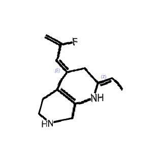 C=C(F)/C=C1\C/C(=C/C)NC2=C1CCNC2